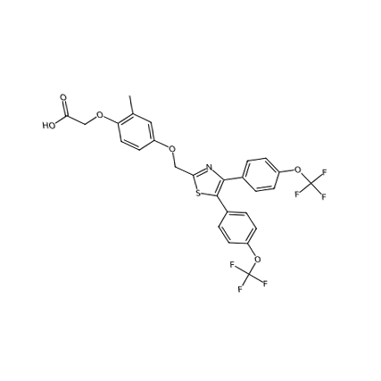 Cc1cc(OCc2nc(-c3ccc(OC(F)(F)F)cc3)c(-c3ccc(OC(F)(F)F)cc3)s2)ccc1OCC(=O)O